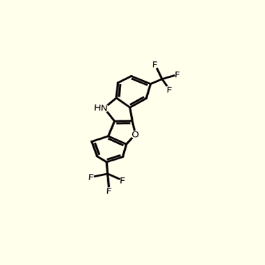 FC(F)(F)c1ccc2c(c1)oc1c3cc(C(F)(F)F)ccc3[nH]c21